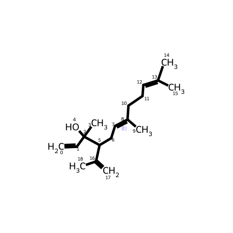 C=CC(C)(O)C(C/C=C(\C)CCC=C(C)C)C(=C)C